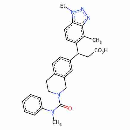 CCn1nnc2c(C)c(C(CC(=O)O)c3ccc4c(c3)CN(C(=O)N(C)c3ccccc3)CC4)ccc21